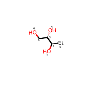 CC[C@@H](O)[C@@H](O)CO